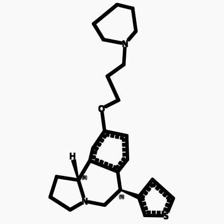 c1cc([C@H]2CN3CCC[C@@H]3c3cc(OCCCN4CCCCC4)ccc32)cs1